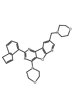 C1=Cc2c(cccc2-c2nc(N3CCOCC3)c3oc4ncc(CN5CCOCC5)cc4c3n2)C1